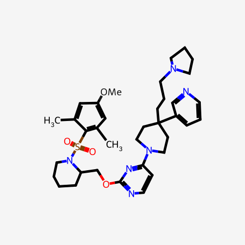 COc1cc(C)c(S(=O)(=O)N2CCCCC2COc2nccc(N3CCC(CCCN4CCCC4)(c4cccnc4)CC3)n2)c(C)c1